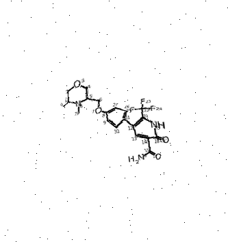 C[C@H]1COCC(COc2ccc(-c3cc(C(N)=O)c(=O)[nH]c3C(F)(F)F)cc2)N1C